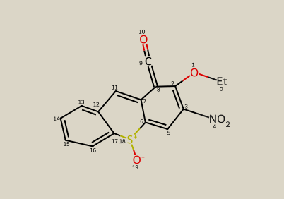 CCOc1c([N+](=O)[O-])cc2c(c1=C=O)=Cc1ccccc1[S+]2[O-]